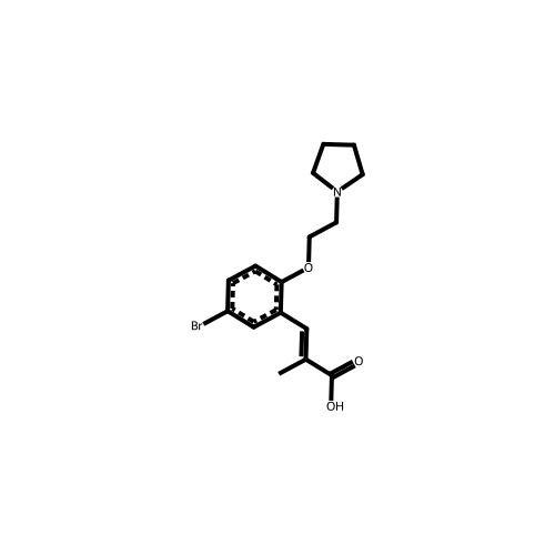 C/C(=C\c1cc(Br)ccc1OCCN1CCCC1)C(=O)O